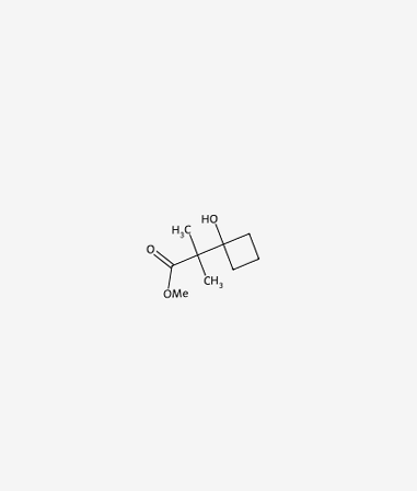 COC(=O)C(C)(C)C1(O)CCC1